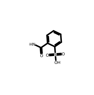 [NH]C(=O)c1ccccc1S(=O)(=O)O